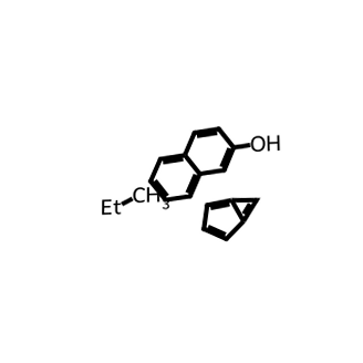 CCC.Oc1ccc2ccccc2c1.c1cc2cc-2c1